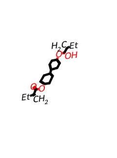 C=C(CC)C(=O)OC1CCC(C2CCC(OC(O)C(=C)CC)CC2)CC1